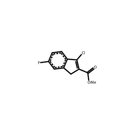 COC(=O)C1=C(Cl)c2ccc(F)cc2C1